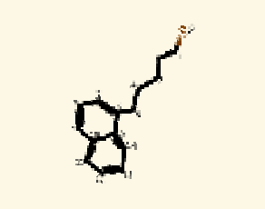 [S]CCCCCc1cccc2ccccc12